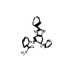 NC(=O)c1ccccc1Oc1cc2nc(-c3ccccn3)[nH]c2cc1Oc1cccnc1